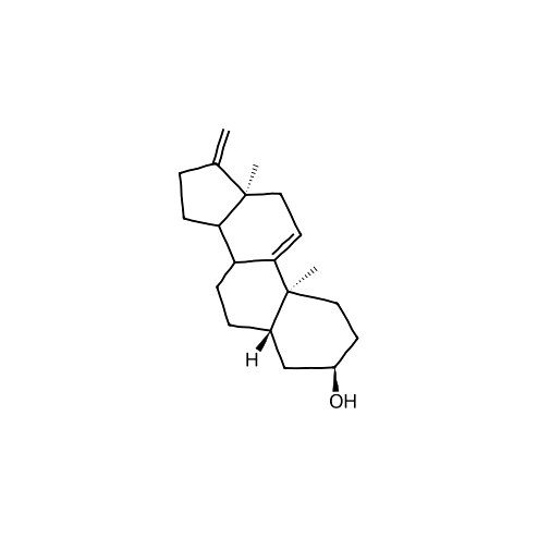 C=C1CCC2C3CC[C@H]4C[C@H](O)CC[C@]4(C)C3=CC[C@]12C